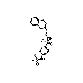 CS(=O)(=O)Nc1ccc(S(=O)(=O)NCCN2CCc3ccccc3C2)cc1